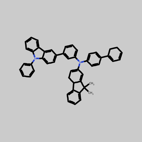 CC1(C)C2=CC(N(c3ccc(C4=CC=CCC4)cc3)c3cccc(-c4ccc5c(c4)c4ccccc4n5-c4ccccc4)c3)=CCC2c2ccccc21